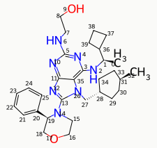 C[C@@H](Nc1nc(NCCO)nc2nc(N3CCOC[C@H]3c3ccccc3)n(C[C@H]3CC[C@H](C)CC3)c12)C1CCC1